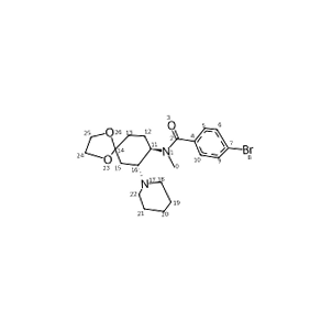 CN(C(=O)c1ccc(Br)cc1)[C@@H]1CCC2(C[C@H]1N1CCCCC1)OCCO2